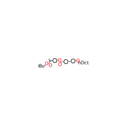 CCCCCCCCOc1ccc(-c2ccc(C(=O)Oc3ccc([C@H](C)C(=O)OCC(C)CC)cc3)cc2)cc1